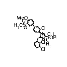 COc1ccc(-c2ccc(-n3cc(C(C)(C)O)nc3Cc3cccc(Cl)c3Cl)c(Cl)c2)cc1S(C)(=O)=O